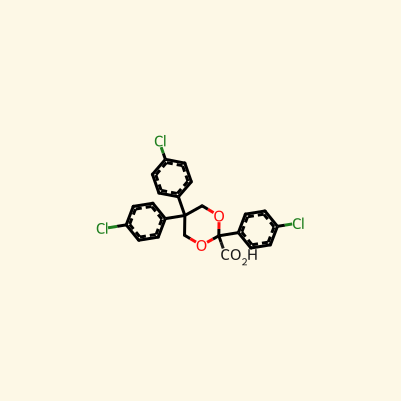 O=C(O)C1(c2ccc(Cl)cc2)OCC(c2ccc(Cl)cc2)(c2ccc(Cl)cc2)CO1